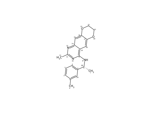 Cc1cccc([C@@H](C)Nc2nc(C)nc3cc4c(cc23)OCCO4)c1